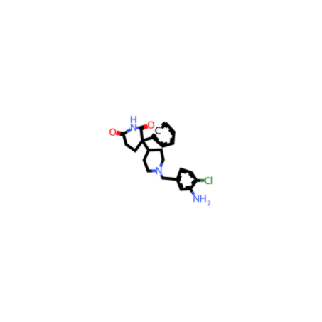 Nc1cc(CN2CCC(C3(c4ccccc4)CCC(=O)NC3=O)CC2)ccc1Cl